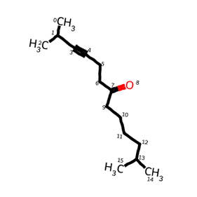 CC(C)C#CCCC(=O)CCCCC(C)C